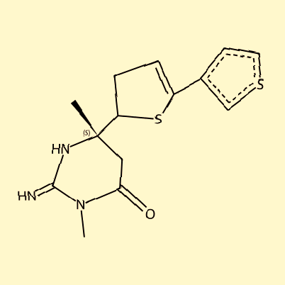 CN1C(=N)N[C@](C)(C2CC=C(c3ccsc3)S2)CC1=O